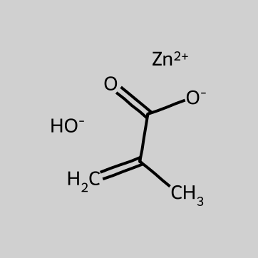 C=C(C)C(=O)[O-].[OH-].[Zn+2]